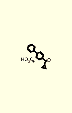 CC(=O)O.O=C(c1ccc(-c2ccccc2)cc1)C1CC1